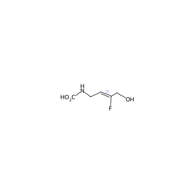 O=C(O)NC/C=C(\F)CO